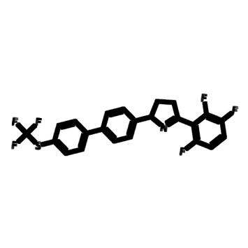 Fc1ccc(F)c(C2=NC(c3ccc(-c4ccc(SC(F)(F)F)cc4)cc3)CC2)c1F